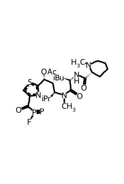 CC[C@H](C)[C@H](NC(=O)[C@H]1CCCCN1C)C(=O)N(C)[C@H](C[C@@H](OC(C)=O)c1nc(C(=O)P(F)#P)cs1)C(C)C